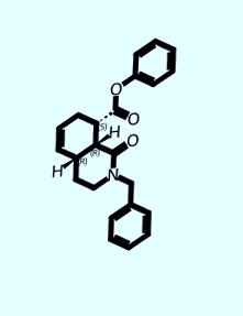 O=C(Oc1ccccc1)[C@H]1CC=C[C@H]2CCN(Cc3ccccc3)C(=O)[C@@H]12